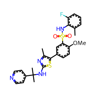 COc1ccc(-c2sc(NC(C)(C)c3ccncc3)nc2C)cc1S(=O)(=O)Nc1c(C)cccc1F